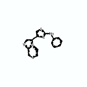 c1ccc(Nc2nc(-c3cnc4cnccn34)cs2)cc1